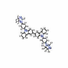 CC1=NC(C)(C)C(C)(C)N1c1ccc(-n2c3ccccc3c3cc(-c4ccc5c(c4)c4ccccc4n5-c4ccc(N5C(C)=NC(C)(C)C5(C)C)cc4)ccc32)cc1